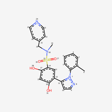 Cc1ccccc1-n1nccc1-c1cc(S(=O)(=O)N(C)Cc2ccncc2)c(O)cc1O